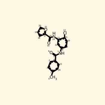 Cc1ccc(C(=O)Nc2ccc(Cl)c(NC(=O)c3ccco3)c2)cc1